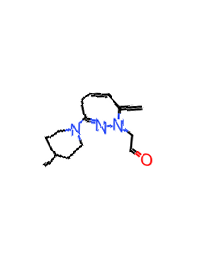 C=C1C=CCC(N2CCC(C)CC2)=NN1CC=O